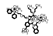 CCCCN(CCCC)C(=O)c1cn(CCOCCO[Si](c2ccccc2)(c2ccccc2)C(C)(C)C)c(-c2ccc(C(=O)OC)cc2C(=O)N2Cc3ccccc3CC2CO[Si](C)(C)C(C)(C)C)n1